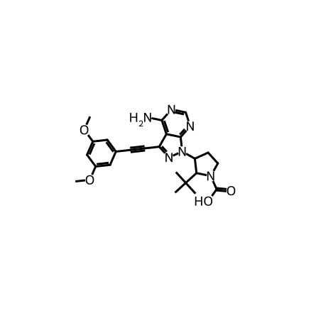 COc1cc(C#Cc2nn(C3CCN(C(=O)O)C3C(C)(C)C)c3ncnc(N)c23)cc(OC)c1